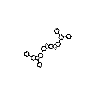 C1=CC2Oc3cc4c(cc3C2C=C1c1cc(-c2ccccc2)nc(-c2ccccc2)n1)oc1ccc(-c2ccc3c(c2)c2cc(-c5ccccc5)ccc2n3-c2ccccc2)cc14